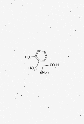 CCCCCCCCCCC(=O)O.Cc1ccccc1S(=O)(=O)O